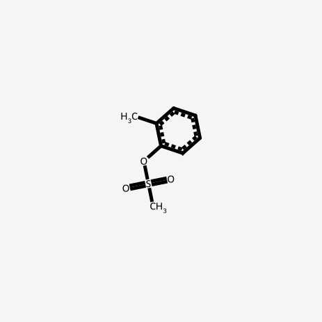 Cc1ccc[c]c1OS(C)(=O)=O